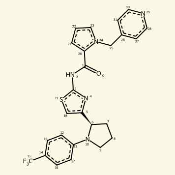 O=C(Nc1nc([C@H]2CCCN2c2ccc(C(F)(F)F)cc2)cs1)c1cccn1Cc1ccncc1